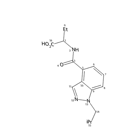 CCC(NC(=O)c1cccc2c1cnn2CC(C)C)C(=O)O